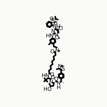 COc1cc(CCN(C)C(=O)CCCCCCCCC(=O)N[C@H](C(=O)N2C[C@H](O)C[C@H]2C(=O)N[C@@H](C)c2ccc(-c3scnc3C)cc2)C(C)(C)C)c(C)cc1Nc1ncc(Cl)c(Nc2ccccc2S(=O)(=O)C(C)C)n1